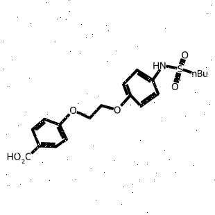 CCCCS(=O)(=O)Nc1ccc(OCCOc2ccc(C(=O)O)cc2)cc1